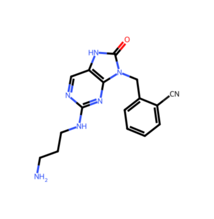 N#Cc1ccccc1Cn1c(=O)[nH]c2cnc(NCCCN)nc21